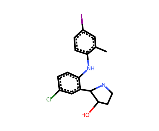 Cc1cc(I)ccc1Nc1ccc(Cl)cc1C1[N]CCC1O